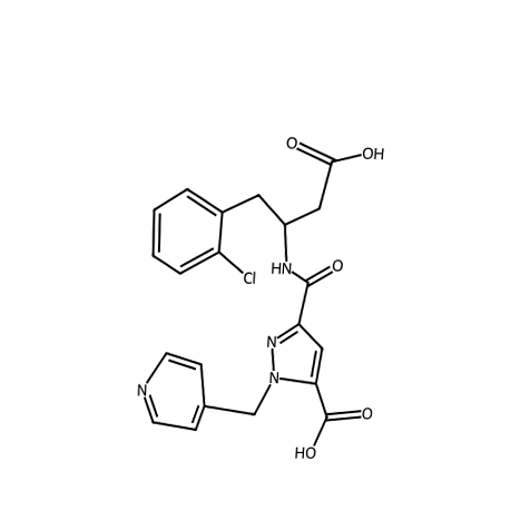 O=C(O)CC(Cc1ccccc1Cl)NC(=O)c1cc(C(=O)O)n(Cc2ccncc2)n1